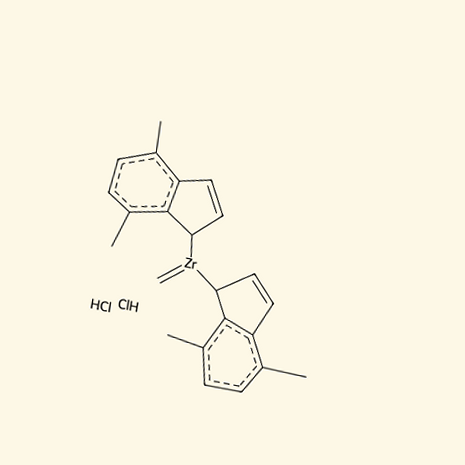 Cl.Cl.[CH2]=[Zr]([CH]1C=Cc2c(C)ccc(C)c21)[CH]1C=Cc2c(C)ccc(C)c21